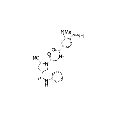 C=C(Nc1ccccc1)C1CC(C#N)N(C(=O)CN(C)C(=O)c2ccc(C=N)c(NC)c2)C1